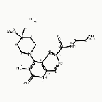 COC1(C)CCN(c2c(C#N)c(=O)[nH]c3cnc(C(=O)NCCN)cc23)CC1.Cl